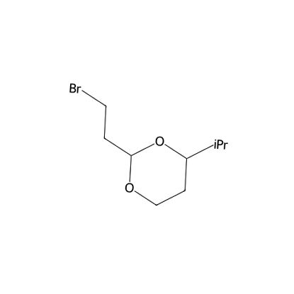 CC(C)C1CCOC(CCBr)O1